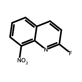 O=[N+]([O-])c1cccc2ccc(F)nc12